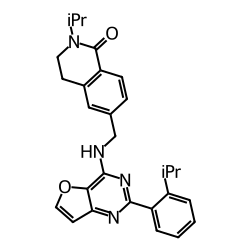 CC(C)c1ccccc1-c1nc(NCc2ccc3c(c2)CCN(C(C)C)C3=O)c2occc2n1